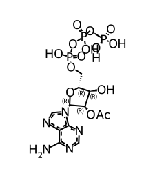 CC(=O)O[C@@H]1[C@H](O)[C@@H](COP(=O)(O)OP(=O)(O)OP(=O)(O)O)O[C@H]1n1cnc2c(N)ncnc21